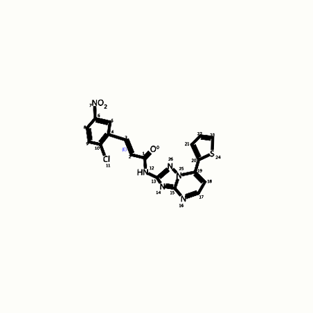 O=C(/C=C/c1cc([N+](=O)[O-])ccc1Cl)Nc1nc2nccc(-c3cccs3)n2n1